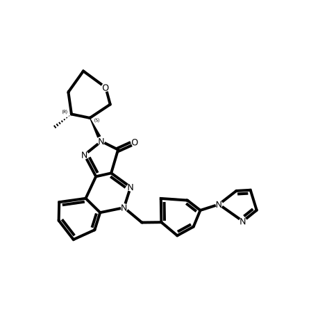 C[C@@H]1CCOC[C@H]1n1nc2c3ccccc3n(Cc3ccc(-n4cccn4)cc3)nc-2c1=O